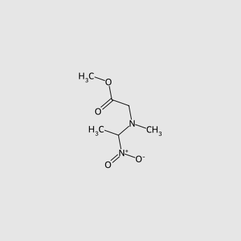 COC(=O)CN(C)C(C)[N+](=O)[O-]